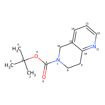 CC(C)(C)OC(=O)N1CCc2ncccc2C1